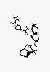 CN(C(=O)[C@H]1CC[C@@H](NS(C)(=O)=O)C1)[C@@H](c1ccc(N[C@H]2Cc3ccccc3C2(C)C)cn1)C(F)(F)F